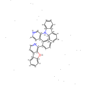 c1ccc(-c2nccc3c2oc2ccccc23)c(-c2ccncc2-n2c3ccccc3c3ccccc32)c1